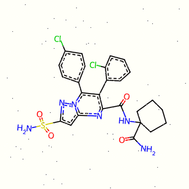 NC(=O)C1(NC(=O)c2nc3cc(S(N)(=O)=O)nn3c(-c3ccc(Cl)cc3)c2-c2ccccc2Cl)CCCCC1